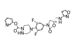 O=C(Oc1cccnc1)N1CCN(c2c(F)cc(N3C[C@H](CNc4ccon4)OC3=O)cc2F)CCN1